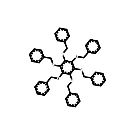 c1ccc(CSc2c(SCc3ccccc3)c(SCc3ccccc3)c(SCc3ccccc3)c(SCc3ccccc3)c2SCc2ccccc2)cc1